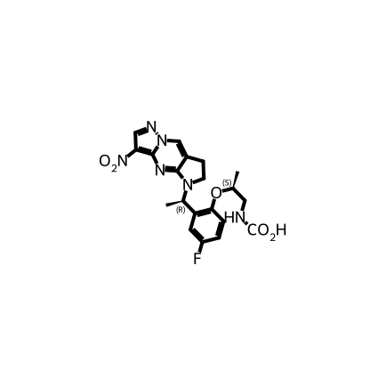 C[C@H](c1cc(F)ccc1O[C@@H](C)CNC(=O)O)N1CCc2cn3ncc([N+](=O)[O-])c3nc21